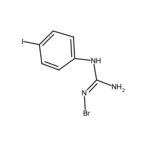 NC(=NBr)Nc1ccc(I)cc1